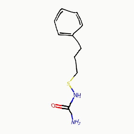 NC(=O)NSCCCc1ccccc1